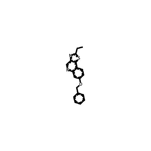 CCc1nc2cnc3cc(OCc4ccccc4)ccc3c2s1